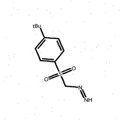 CC(C)(C)c1ccc(S(=O)(=O)CN=N)cc1